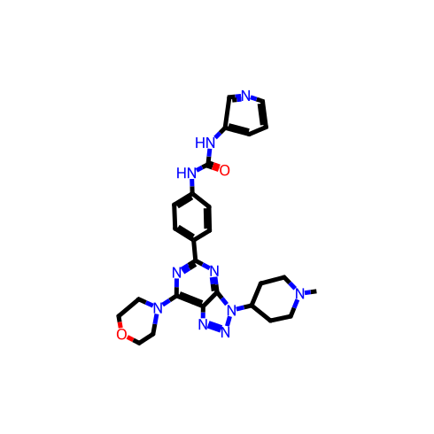 CN1CCC(n2nnc3c(N4CCOCC4)nc(-c4ccc(NC(=O)Nc5cccnc5)cc4)nc32)CC1